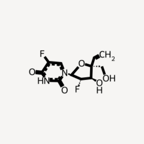 C=C[C@]1(CO)O[C@@H](n2cc(F)c(=O)[nH]c2=O)[C@@H](F)[C@@H]1O